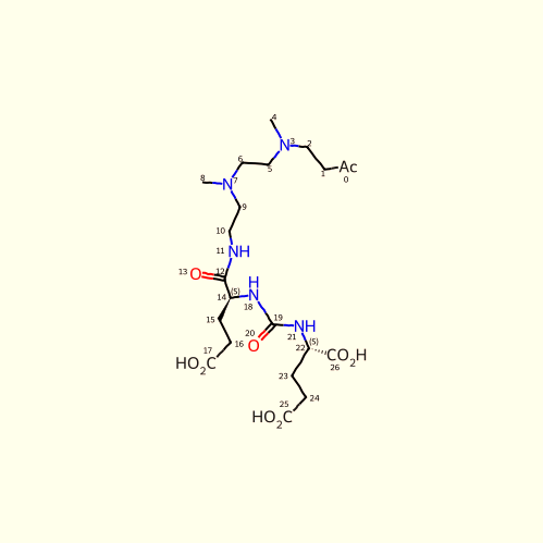 CC(=O)CCN(C)CCN(C)CCNC(=O)[C@H](CCC(=O)O)NC(=O)N[C@@H](CCC(=O)O)C(=O)O